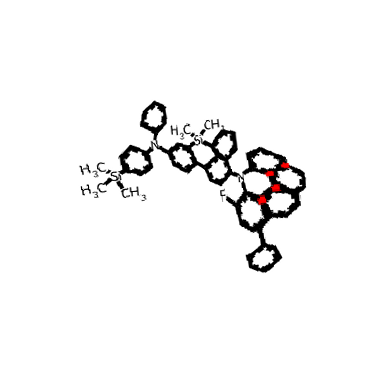 C[Si](C)(C)c1ccc(N(c2ccccc2)c2ccc3c(c2)[Si](C)(C)c2cccc4c(N(c5ccccc5-c5ccccc5)c5c(F)cc(-c6ccccc6)cc5-c5ccccc5)ccc-3c24)cc1